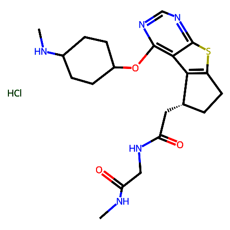 CNC(=O)CNC(=O)C[C@H]1CCc2sc3ncnc(OC4CCC(NC)CC4)c3c21.Cl